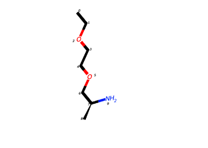 CCOCCOC[C@H](C)N